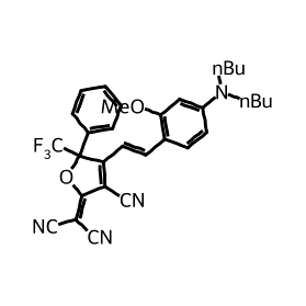 CCCCN(CCCC)c1ccc(C=CC2=C(C#N)C(=C(C#N)C#N)OC2(c2ccccc2)C(F)(F)F)c(OC)c1